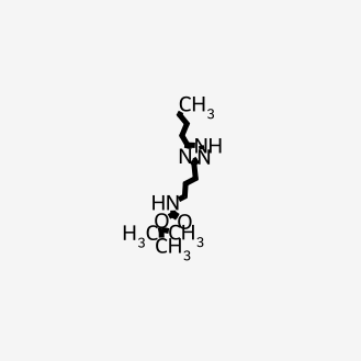 CCCCc1nc(CCCNC(=O)OC(C)(C)C)n[nH]1